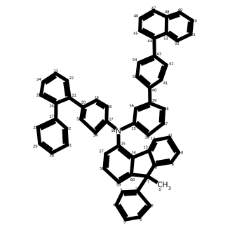 CC1(c2ccccc2)c2ccccc2-c2c(N(c3ccc(-c4ccccc4-c4ccccc4)cc3)c3cccc(-c4ccc(-c5cccc6ccccc56)cc4)c3)cccc21